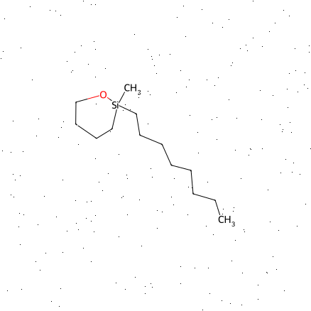 CCCCCCCC[Si]1(C)CCCCO1